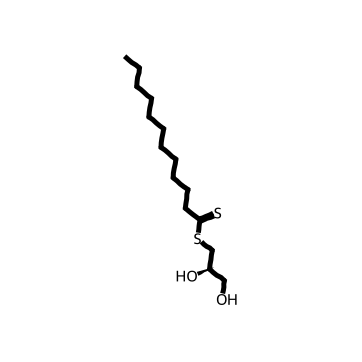 CCCCCCCCCCCC(=S)SC[C@H](O)CO